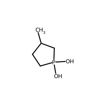 CC1CC[P](O)(O)C1